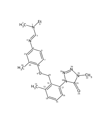 CCN(C)/C=N/c1ccc(OCc2c(C)cccc2-n2nnn(C)c2=O)c(C)c1